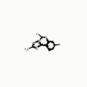 FC(F)(F)c1nc2c3ccc(Br)cc3nc(Cl)n2n1